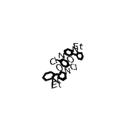 CCn1c2c(c3c4c(ccc31)N=c1c(Cl)c3c(c(Cl)c1O4)=Nc1ccc4c(c1O3)c1ccccc1n4CC)C=CCC2